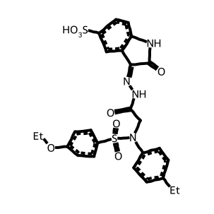 CCOc1ccc(S(=O)(=O)N(CC(=O)NN=C2C(=O)Nc3ccc(S(=O)(=O)O)cc32)c2ccc(CC)cc2)cc1